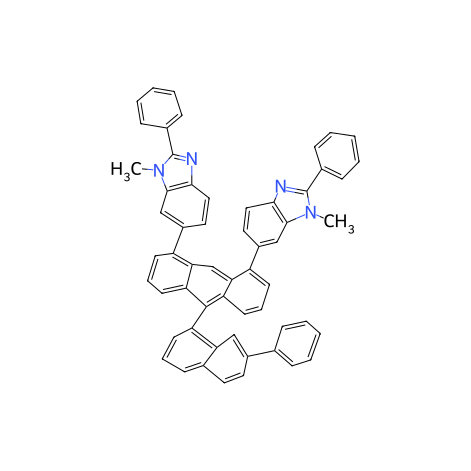 Cn1c(-c2ccccc2)nc2ccc(-c3cccc4c(-c5cccc6ccc(-c7ccccc7)cc56)c5cccc(-c6ccc7nc(-c8ccccc8)n(C)c7c6)c5cc34)cc21